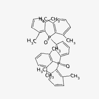 Cc1cccc(C)c1P(=O)(c1cccc(P(=O)(c2c(C)cccc2C)c2c(C)cccc2C)c1)c1c(C)cccc1C